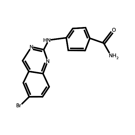 NC(=O)c1ccc(Nc2ncc3cc(Br)ccc3n2)cc1